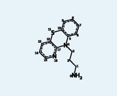 NCCCN1c2ccccc2Sc2cccnc21